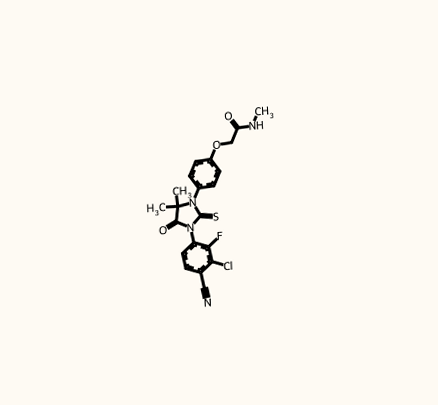 CNC(=O)COc1ccc(N2C(=S)N(c3ccc(C#N)c(Cl)c3F)C(=O)C2(C)C)cc1